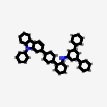 C1=CC2C3CCCCC3N(C3CCCCC3)C2CC1C1CCC(C2CCCCC2NC2CC(C3CCCCC3)CC(C3CCCCC3)C2)CC1